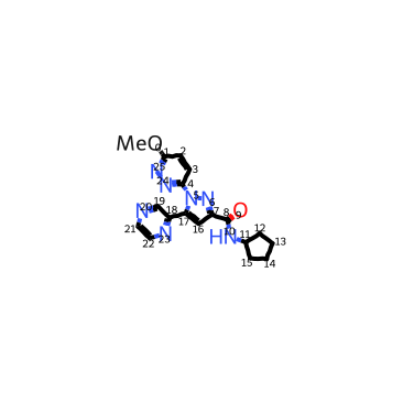 COc1ccc(-n2nc(C(=O)NC3CCCC3)cc2-c2cnccn2)nn1